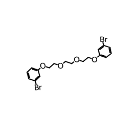 Brc1cccc(OCCOCCOCCOc2cccc(Br)c2)c1